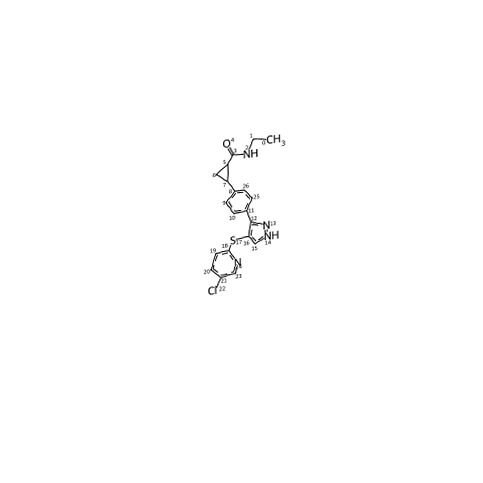 CCNC(=O)C1CC1c1ccc(-c2n[nH]cc2Sc2ccc(Cl)cn2)cc1